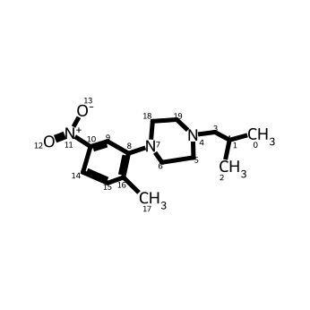 C[C](C)CN1CCN(c2cc([N+](=O)[O-])ccc2C)CC1